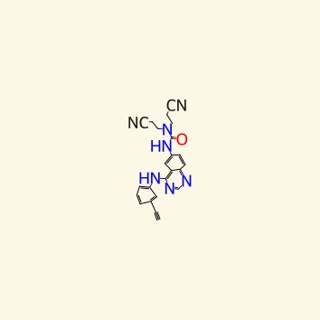 C#Cc1cccc(Nc2ncnc3ccc(NC(=O)N(CCC#N)CCC#N)cc23)c1